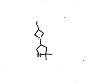 CC1(C)CC(N2CC(F)C2)CN1